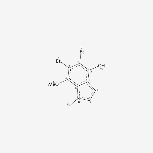 CCc1c(CC)c(OC)c2c(ccn2C)c1O